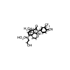 C[C@@]12C[C@H](N(CCO)C(=O)O)[C@]3(CCO[C@H]4[C@@H]3[C@@H]1C(=O)N4c1ccc(C#N)c(C(F)(F)F)c1)O2